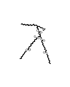 CCCCCCCCCCCCC(CCCN(C)C)CCOC(=O)OCC(COC(=O)CCCCCCCCC(=O)OCCCCCCCC)COC(=O)CCCCCCCCC(=O)OCCCCCCCC